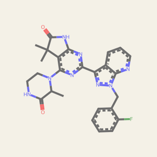 CC1C(=O)NCCN1c1nc(-c2nn(Cc3ccccc3F)c3ncccc23)nc2c1C(C)(C)C(=O)N2